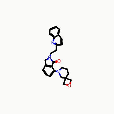 O=C1c2c(cccc2N2CCCC3(COC3)C2)CN1CCc1ccc2ccccc2n1